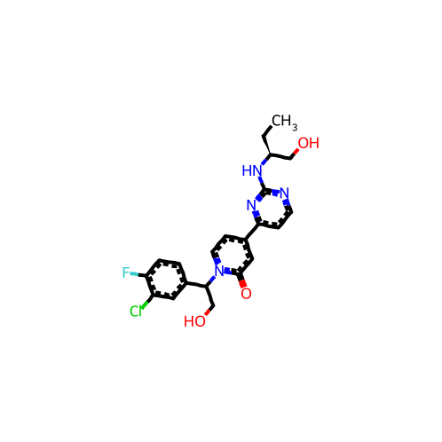 CC[C@@H](CO)Nc1nccc(-c2ccn(C(CO)c3ccc(F)c(Cl)c3)c(=O)c2)n1